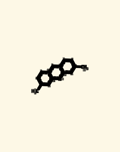 Cc1ccc2cc3ccc(C)cc3nc2c1